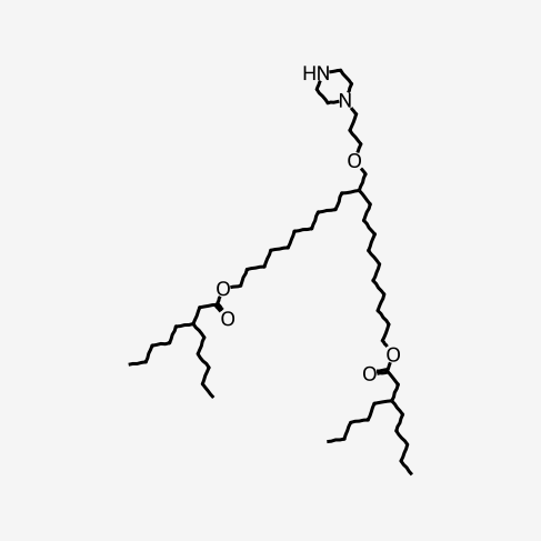 CCCCCC(CCCCC)CC(=O)OCCCCCCCCCCC(CCCCCCCCCCOC(=O)CC(CCCCC)CCCCC)COCCCN1CCNCC1